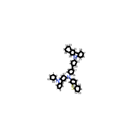 c1ccc(-n2c3ccccc3c3cc(N(c4ccc(-c5ccc(-n6c7ccccc7c7cc8ccccc8cc76)cc5)cc4)c4ccc5c(c4)sc4ccccc45)ccc32)cc1